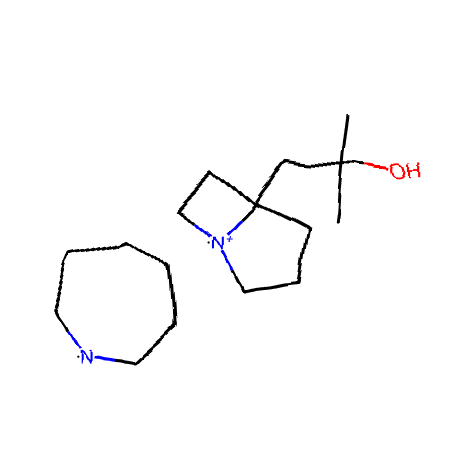 C1CCC[N]CC1.CC(C)(O)CC12CCC[N+]1CC2